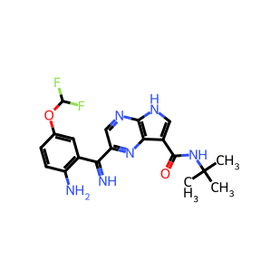 CC(C)(C)NC(=O)c1c[nH]c2ncc(C(=N)c3cc(OC(F)F)ccc3N)nc12